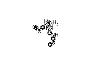 NC(=O)c1nnc(N2CCCC(Nc3ccc(Oc4ccccc4)cc3)C2)nc1Nc1ccc(C(=O)N2CCOCC2)cc1